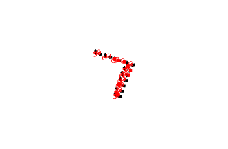 CCOC(=O)CCO.CCOC(C)=O.CCOC(C)=O.CCOC(C)=O.CCOC(C)=O.CCOC(C)=O.CCOC(C)=O.CCOC(C)=O.CCOC(C)=O.CCOC(C)=O